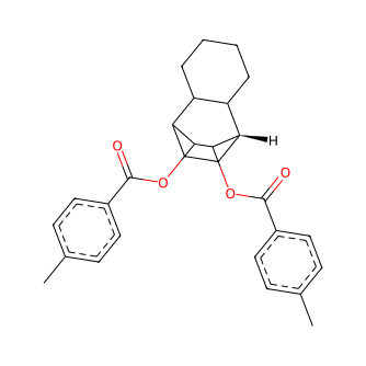 Cc1ccc(C(=O)OC2C3CC[C@@H](C4CCCCC34)C2OC(=O)c2ccc(C)cc2)cc1